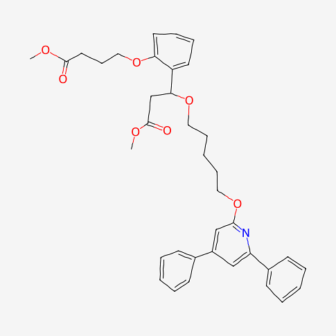 COC(=O)CCCOc1ccccc1C(CC(=O)OC)OCCCCCOc1cc(-c2ccccc2)cc(-c2ccccc2)n1